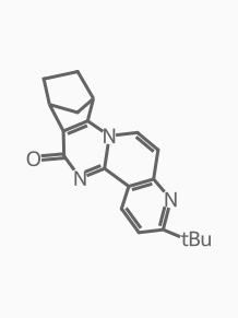 CC(C)(C)c1ccc2c(ccn3c4c(c(=O)nc23)C2CCC4C2)n1